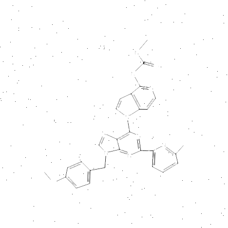 CNC(=O)Nc1nccc2c1ccn2-c1nc(-c2cccc(C)n2)nc2c1ncn2Cc1ccc(OC)cc1